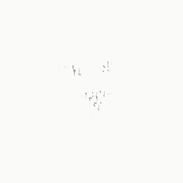 CCCCCCCCON1C(C)(C)CC(CCCCNc2nc(NCCCCC3CC(C)(C)N(OCCCCCCCC)C(C)(C)C3)nc(NCCC(=O)O)n2)CC1(C)C